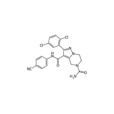 N#Cc1ccc(NC(=O)c2c(-c3cc(Cl)ccc3Cl)nn3c2CN(C(N)=O)CC3)cc1